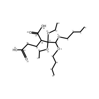 CCCCOC(OCCCC)C(OCC)(OCC)C(CCC(=O)O)C(=O)O